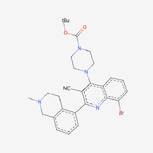 CN1CCc2c(cccc2-c2nc3c(Br)cccc3c(N3CCN(C(=O)OC(C)(C)C)CC3)c2C#N)C1